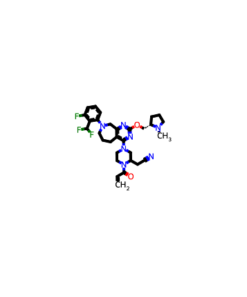 C=CC(=O)N1CCN(c2nc(OC[C@@H]3CCCN3C)nc3c2CCCN(c2cccc(F)c2C(F)F)C3)CC1CC#N